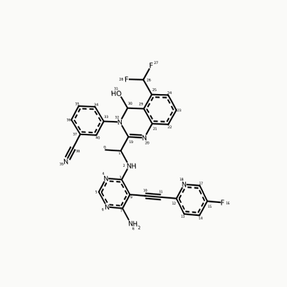 CC(Nc1ncnc(N)c1C#Cc1ccc(F)cn1)C1=Nc2cccc(C(F)F)c2C(O)N1c1cccc(C#N)c1